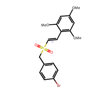 COc1cc(OC)c(/C=C/S(=O)(=O)Cc2ccc(Br)cc2)c(OC)c1